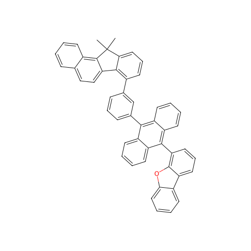 CC1(C)c2cccc(-c3cccc(-c4c5ccccc5c(-c5cccc6c5oc5ccccc56)c5ccccc45)c3)c2-c2ccc3ccccc3c21